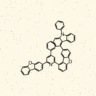 c1ccc(-c2cc(-c3ccc4c(c3)oc3ccccc34)nc(-c3cccc4oc5ccc(-c6cccc7c6c6ccccc6n7-c6ccccc6)cc5c34)c2)cc1